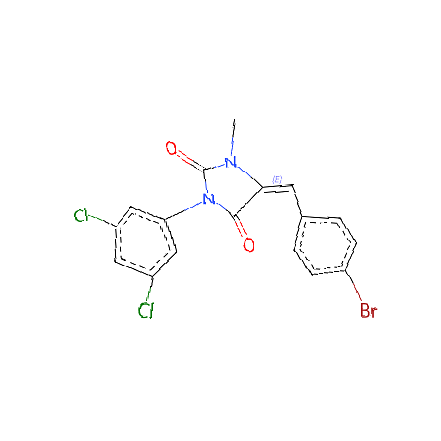 CN1C(=O)N(c2cc(Cl)cc(Cl)c2)C(=O)/C1=C\c1ccc(Br)cc1